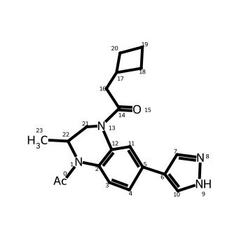 CC(=O)N1c2ccc(-c3cn[nH]c3)cc2N(C(=O)CC2CCC2)CC1C